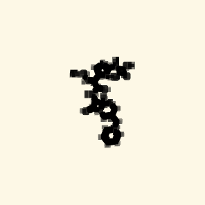 CON=C(C(=O)NC1C(=O)N2C=C(C[n+]3ccccc3)CS[C@@H]12)c1csc(NP(=O)(O)O)n1